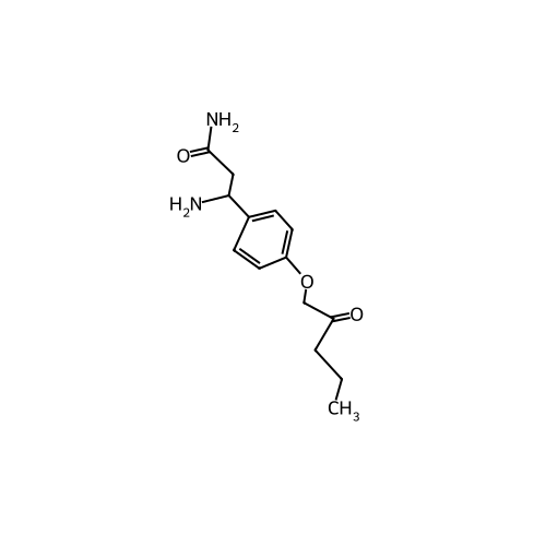 CCCC(=O)COc1ccc(C(N)CC(N)=O)cc1